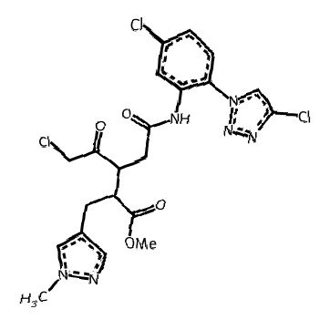 COC(=O)C(Cc1cnn(C)c1)C(CC(=O)Nc1cc(Cl)ccc1-n1cc(Cl)nn1)C(=O)CCl